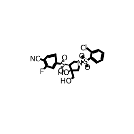 N#Cc1ccc(S(=O)(=O)[C@H]2CN(S(=O)(=O)c3ccccc3Cl)C[C@]2(O)CO)cc1F